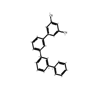 N#Cc1cc(C#N)cc(-c2cccc(-c3cccc(-c4ccccc4)c3)c2)c1